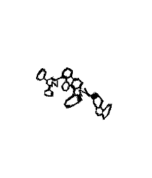 c1ccc(-c2cc(-c3ccccc3)nc(-c3cccc4c3oc3c4ccc4c3c3ccccc3n4-c3ccc4c(ccc5ccccc54)c3)c2)cc1